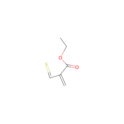 C=C(C=S)C(=O)OCC